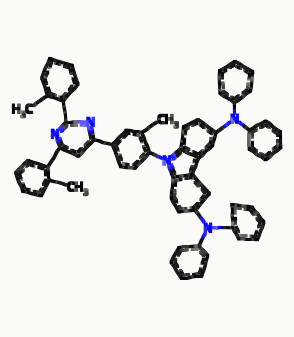 Cc1ccccc1-c1cc(-c2ccc(-n3c4ccc(N(c5ccccc5)c5ccccc5)cc4c4cc(N(c5ccccc5)c5ccccc5)ccc43)c(C)c2)nc(-c2ccccc2C)n1